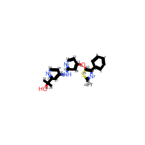 CC(C)c1nc(-c2ccccc2)c(Oc2ccnc(Nc3ccnc(C(C)(C)O)c3)c2)s1